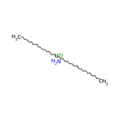 CCCCCCCCCCCCCCCCCCC(N)CCCCCCCCCCCCCCCCCC.Cl